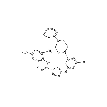 CCc1nc(Nc2ncc(C(=O)Nc3c(C)cc(C)cc3C)o2)nc(N2CCN(c3ccccc3)CC2)n1